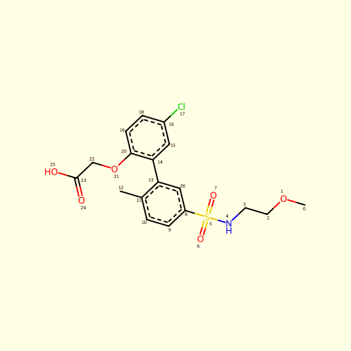 COCCNS(=O)(=O)c1ccc(C)c(-c2cc(Cl)ccc2OCC(=O)O)c1